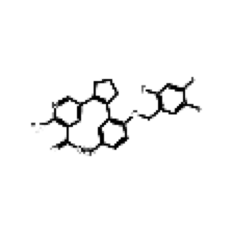 COC(=O)c1cc(C2=C(c3cc(Cl)ccc3OCc3cc(F)c(F)cc3F)CCC2)cnc1C(F)(F)F